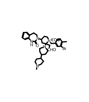 Cc1ccc(C[N@+]2(C(=O)[O-])CCC(N3CCc4ccccc4NC3=O)CC2(CC=O)N2CCC(C3CCN(C)CC3)CC2)cc1Br